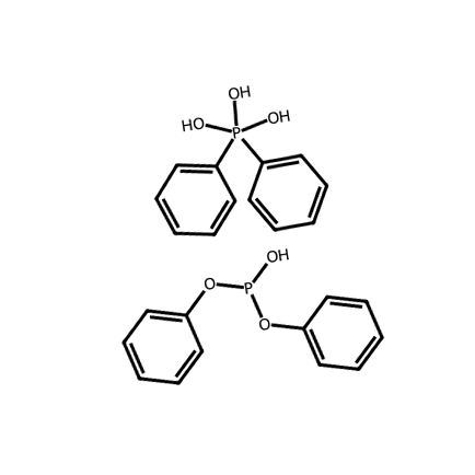 OP(O)(O)(c1ccccc1)c1ccccc1.OP(Oc1ccccc1)Oc1ccccc1